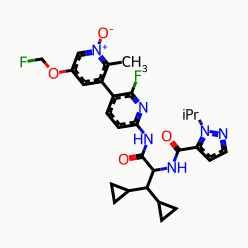 Cc1c(-c2ccc(NC(=O)C(NC(=O)c3ccnn3C(C)C)C(C3CC3)C3CC3)nc2F)cc(OCF)c[n+]1[O-]